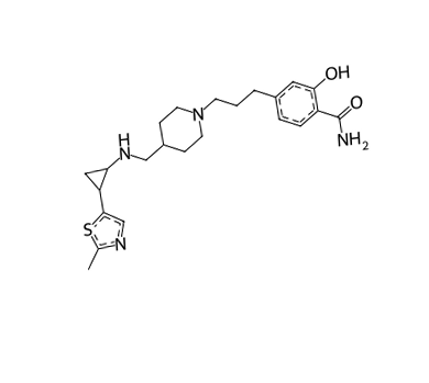 Cc1ncc(C2CC2NCC2CCN(CCCc3ccc(C(N)=O)c(O)c3)CC2)s1